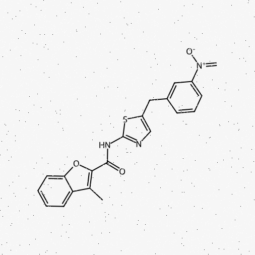 C=[N+]([O-])c1cccc(Cc2cnc(NC(=O)c3oc4ccccc4c3C)s2)c1